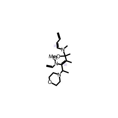 C=C/C=C\N(C)C(C)(OC)/C(C)=C(/C(C)N1CCOCC1)N(C=C)CC